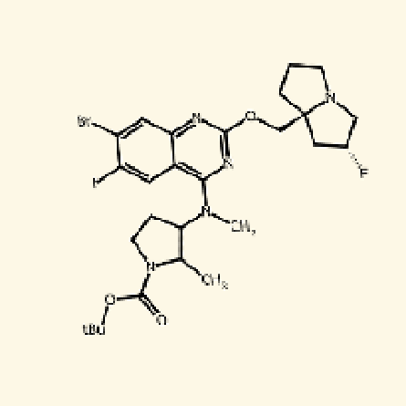 CC1C(N(C)c2nc(OC[C@@]34CCCN3C[C@H](F)C4)nc3cc(Br)c(I)cc23)CCN1C(=O)OC(C)(C)C